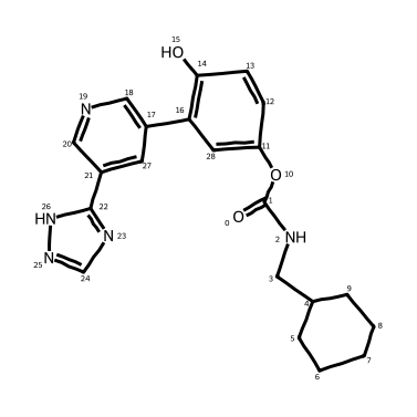 O=C(NCC1CCCCC1)Oc1ccc(O)c(-c2cncc(-c3ncn[nH]3)c2)c1